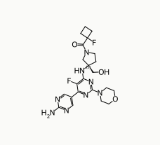 Nc1ncc(-c2nc(N3CCOCC3)nc(N[C@@]3(CO)CCN(C(=O)C4(F)CCC4)C3)c2F)cn1